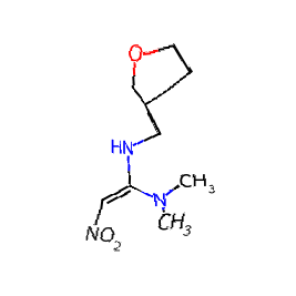 CN(C)C(=C[N+](=O)[O-])NCC1CCOC1